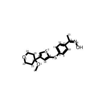 COC1(c2csc(Sc3ccc(/C(C)=N\O)cc3)c2)CCOCC1